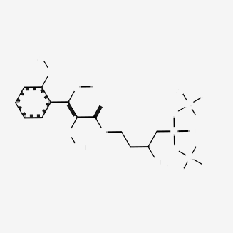 COC(C(=O)OCCC(C)C[Si](C)(O[Si](C)(C)C)O[Si](C)(C)C)=C(OC)c1ccccc1OC